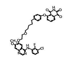 COc1cc2ncnc(Nc3cccc(Cl)c3F)c2cc1OCCOCCCCCc1ccc(Oc2cccc3c2C(=O)NC(=O)C3=O)cc1